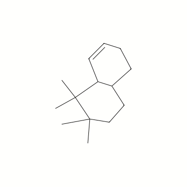 CC1(C)CCC2CCC=CC2C1(C)C